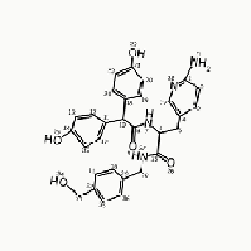 Nc1ccc(CC(NC(=O)C(c2ccc(O)cc2)c2ccc(O)cc2)C(=O)NCc2ccc(CO)cc2)cn1